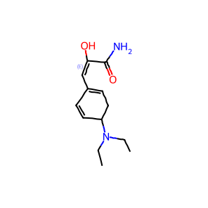 CCN(CC)C1C=CC(/C=C(/O)C(N)=O)=CC1